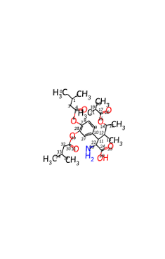 CC(C)CC(=O)Oc1ccc(C(C(C)C(C)OC(=O)C(C)C)[C@H](N)C(=O)O)cc1OC(=O)CC(C)C